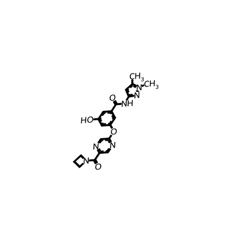 Cc1cc(NC(=O)c2cc(O)cc(Oc3cnc(C(=O)N4CCC4)cn3)c2)nn1C